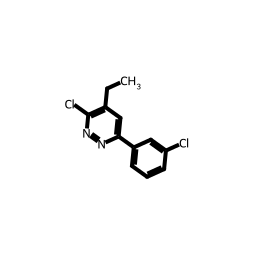 CCc1cc(-c2cccc(Cl)c2)nnc1Cl